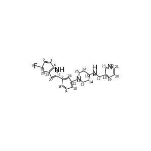 Fc1ccc2[nH]c(-c3cccc(N4CCC(NCc5cccnc5)CC4)c3)cc2c1